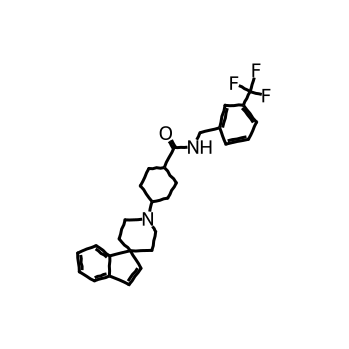 O=C(NCc1cccc(C(F)(F)F)c1)C1CCC(N2CCC3(C=Cc4ccccc43)CC2)CC1